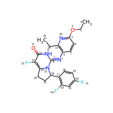 CCOc1ccc(/N=c2\[nH]c(=O)c(F)c3n2C(c2ccc(F)cc2F)CC3)c(CC)n1